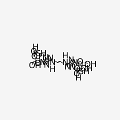 O=[PH](S)O[C@@H]1C(CO)O[C@@H](n2cnc3c(NC/C=C/CNc4ncnc5c4ncn5C4O[C@H](CO)[C@@H](O)[C@H]4O[PH](=O)S)ncnc32)[C@@H]1F